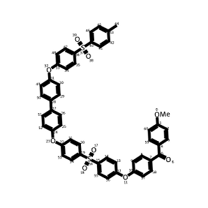 COc1ccc(C(=O)c2ccc(Oc3ccc(S(=O)(=O)c4ccc(Oc5ccc(-c6ccc(Oc7ccc(S(=O)(=O)c8ccc(C)cc8)cc7)cc6)cc5)cc4)cc3)cc2)cc1